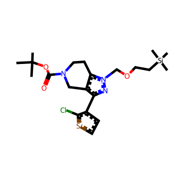 CC(C)(C)OC(=O)N1CCc2c(c(-c3ccsc3Cl)nn2COCC[Si](C)(C)C)C1